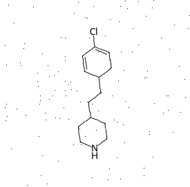 ClC1=CCC(CCC2CCNCC2)C=C1